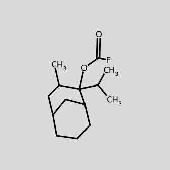 CC(C)C1(OC(=O)F)C(C)CC2CCCC1C2